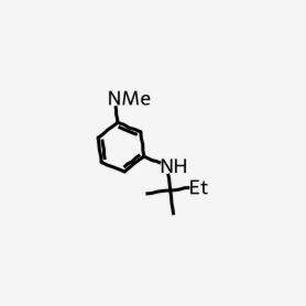 CCC(C)(C)Nc1cccc(NC)c1